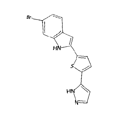 Brc1ccc2cc(-c3ccc(-c4ccn[nH]4)s3)[nH]c2c1